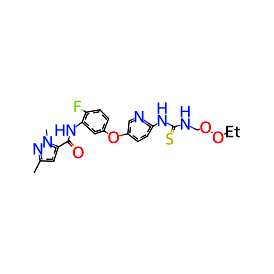 CCOOCNC(=S)Nc1ccc(Oc2ccc(F)c(NC(=O)c3cc(C)nn3C)c2)cn1